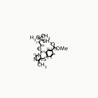 COC(=O)c1ccc(Sc2c(C)ncn2COCC[Si](C)(C)C)cc1